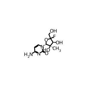 C[C@@]1(O)[C@H](O)C(F)(CO)O[C@H]1n1ccc(N)nc1=O